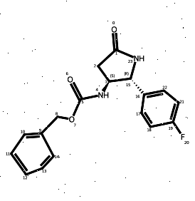 O=C1C[C@H](NC(=O)OCc2ccccc2)[C@@H](c2ccc(F)cc2)N1